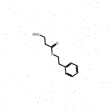 O=[C]CCC(=O)OCCc1ccccc1